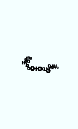 CC(C)(C)OC(=O)N[C@H]1C[C@H](Oc2ccc(C(C)(C)c3ccc(OCc4cccc(C(=O)NN)n4)cc3)cc2)C1